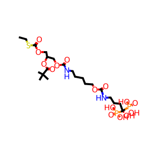 CCSC(=O)OCC(COC(=O)NCCCCCOC(=O)NCCCC(O)(P(=O)(O)O)P(=O)(O)O)OC(=O)C(C)(C)C